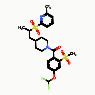 CC(CC1CCN(C(=O)c2ccc(OC(F)F)cc2S(C)(=O)=O)CC1)S(=O)(=O)c1cccc(C(F)(F)F)n1